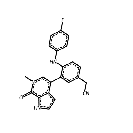 Cn1cc(-c2cc(CC#N)ccc2Nc2ccc(F)cc2)c2cc[nH]c2c1=O